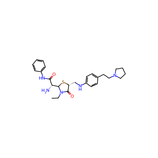 CCN1C(=O)[C@@H](CNc2ccc(CCN3CCCC3)cc2)SC1[C@H](N)C(=O)Nc1ccccc1